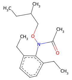 CCc1cccc(CC)c1N(OCC(C)CC)C(C)=O